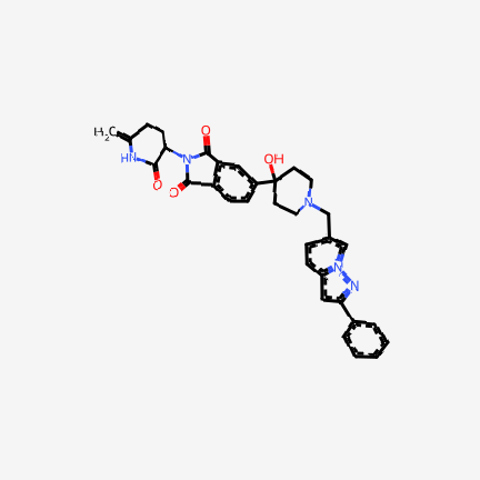 C=C1CCC(N2C(=O)c3ccc(C4(O)CCN(Cc5ccc6cc(-c7ccccc7)nn6c5)CC4)cc3C2=O)C(=O)N1